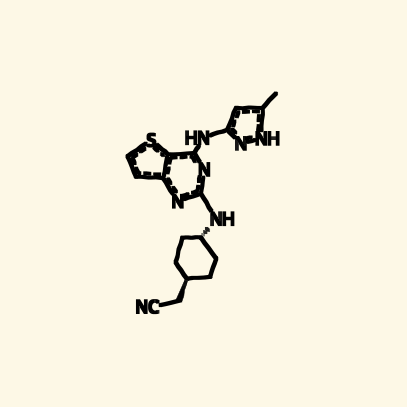 Cc1cc(Nc2nc(N[C@H]3CC[C@H](CC#N)CC3)nc3ccsc23)n[nH]1